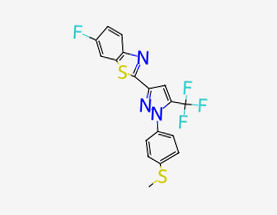 CSc1ccc(-n2nc(-c3nc4ccc(F)cc4s3)cc2C(F)(F)F)cc1